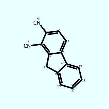 [C-]#[N+]c1ccc2c(c1[N+]#[C-])Cc1ccccc1-2